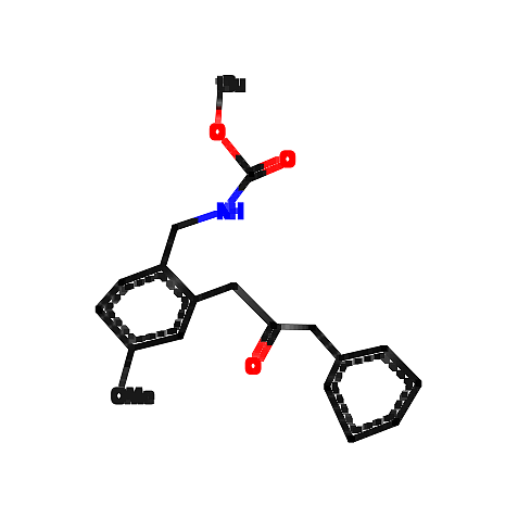 COc1ccc(CNC(=O)OC(C)(C)C)c(CC(=O)Cc2ccccc2)c1